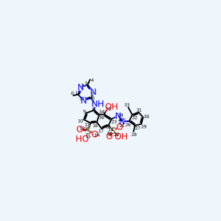 Cc1nc(C)nc(Nc2ccc(S(=O)(=O)O)c3cc(S(=O)(=O)O)c(N=Nc4c(C)cccc4C)c(O)c23)n1